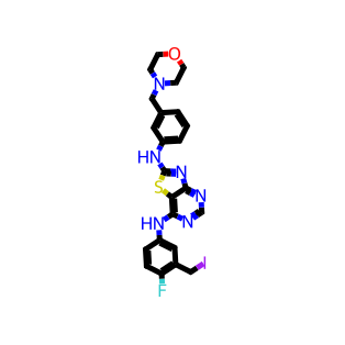 Fc1ccc(Nc2ncnc3nc(Nc4cccc(CN5CCOCC5)c4)sc23)cc1CI